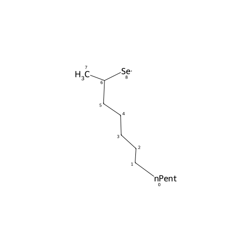 CCCCCCCCCCC(C)[Se]